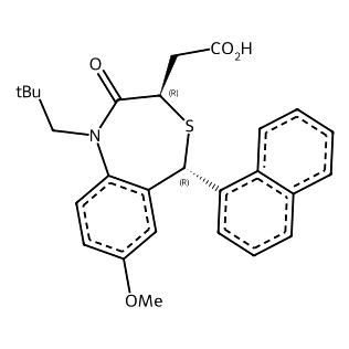 COc1ccc2c(c1)[C@@H](c1cccc3ccccc13)S[C@H](CC(=O)O)C(=O)N2CC(C)(C)C